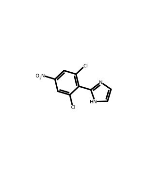 O=[N+]([O-])c1cc(Cl)c(-c2ncc[nH]2)c(Cl)c1